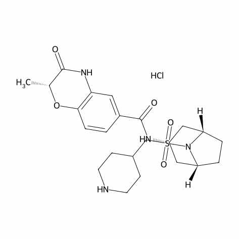 C[C@H]1Oc2ccc(C(=O)N[C@H]3C[C@H]4CC[C@@H](C3)N4S(=O)(=O)CC3CCNCC3)cc2NC1=O.Cl